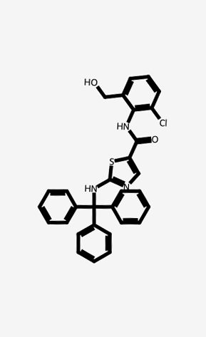 O=C(Nc1c(Cl)cccc1CO)c1cnc(NC(c2ccccc2)(c2ccccc2)c2ccccc2)s1